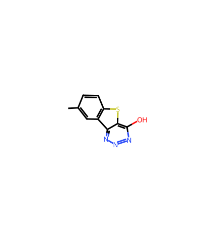 Cc1ccc2sc3c(O)nnnc3c2c1